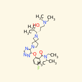 CCN(CC)C[C@@H](O)C[C@@H](C(C)C)N1CC2(CCN(c3ncnnc3Oc3ccc(F)cc3C(=O)N(CC)C(C)C)C2)C1